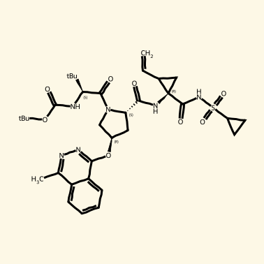 C=CC1C[C@]1(NC(=O)[C@@H]1C[C@@H](Oc2nnc(C)c3ccccc23)CN1C(=O)[C@@H](NC(=O)OC(C)(C)C)C(C)(C)C)C(=O)NS(=O)(=O)C1CC1